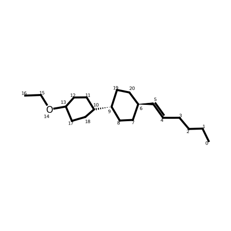 CCCC/C=C/[C@H]1CC[C@H](C2CCC(OCC)CC2)CC1